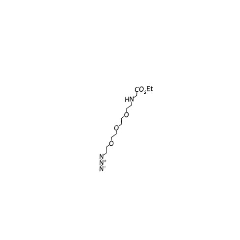 CCOC(=O)CNCCOCCOCCOCCN=[N+]=[N-]